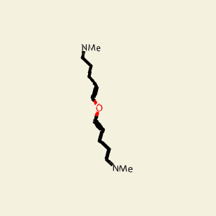 CNCCCC=COC=CCCCNC